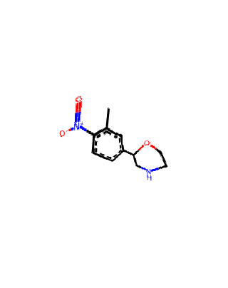 Cc1cc(C2CNCCO2)ccc1[N+](=O)[O-]